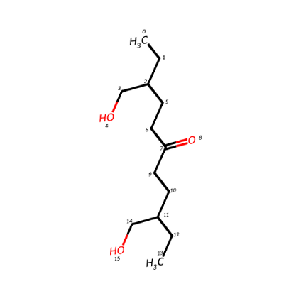 CCC(CO)CCC(=O)CCC(CC)CO